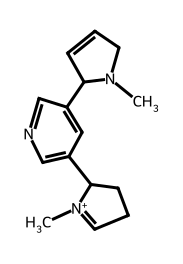 CN1CC=CC1c1cncc(C2CCC=[N+]2C)c1